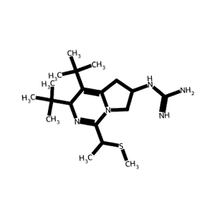 CSC(C)C1=NC(C(C)(C)C)C(C(C)(C)C)=C2CC(NC(=N)N)CN12